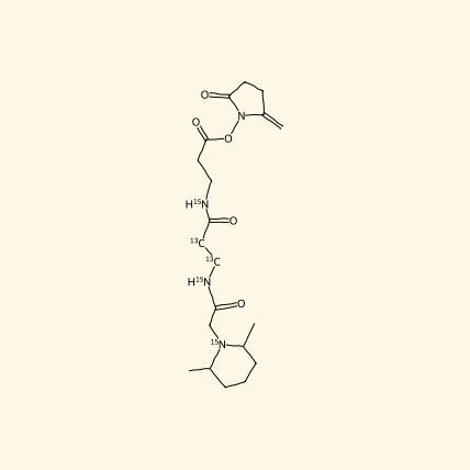 C=C1CCC(=O)N1OC(=O)CC[15NH]C(=O)[13CH2][13CH2][15NH]C(=O)C[15N]1C(C)CCCC1C